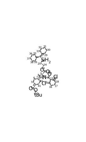 CC(C)(C)OC(=O)c1ccc(CC(NC(=O)c2c(Cl)cccc2Cl)C(=O)OCC[SiH2]C(c2ccccc2)c2ccccc2)cc1